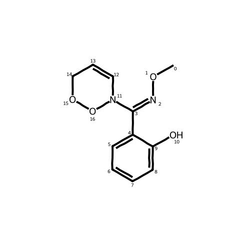 CON=C(c1ccccc1O)N1C=CCOO1